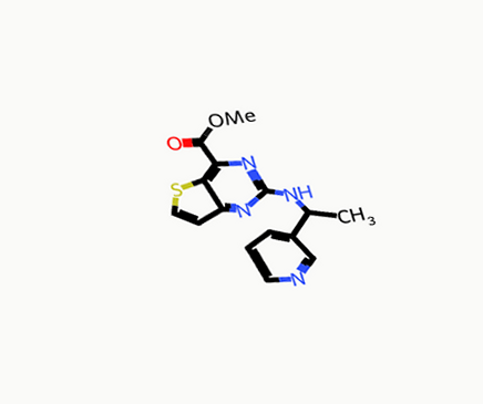 COC(=O)c1nc(NC(C)c2cccnc2)nc2ccsc12